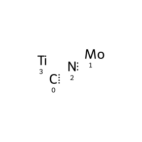 [C].[Mo].[N].[Ti]